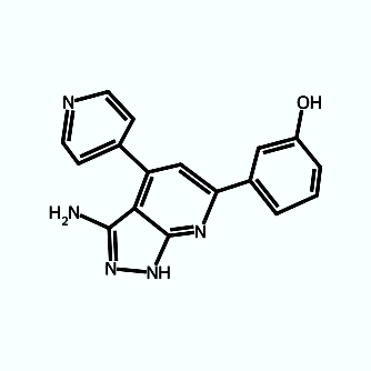 Nc1n[nH]c2nc(-c3cccc(O)c3)cc(-c3ccncc3)c12